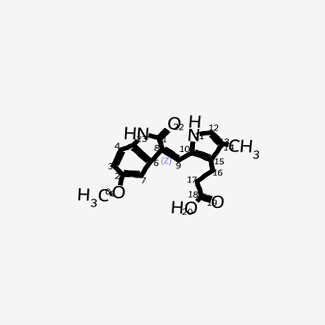 COc1ccc2c(c1)/C(=C/c1[nH]cc(C)c1CCC(=O)O)C(=O)N2